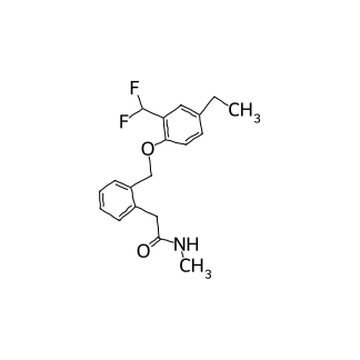 CCc1ccc(OCc2ccccc2CC(=O)NC)c(C(F)F)c1